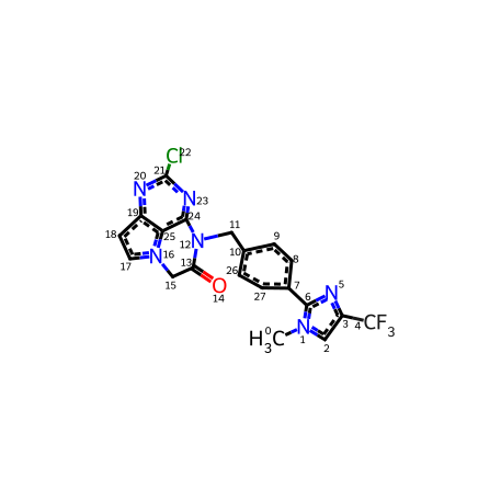 Cn1cc(C(F)(F)F)nc1-c1ccc(CN2C(=O)Cn3ccc4nc(Cl)nc2c43)cc1